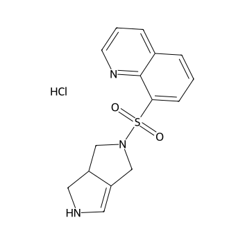 Cl.O=S(=O)(c1cccc2cccnc12)N1CC2=CNCC2C1